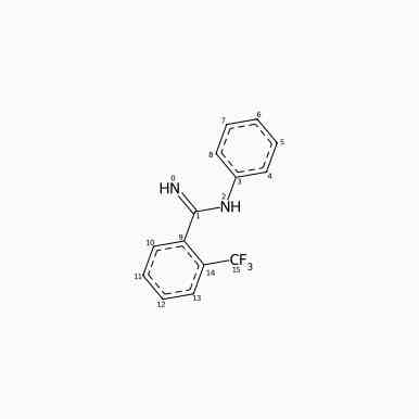 N=C(Nc1ccccc1)c1ccccc1C(F)(F)F